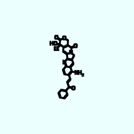 CC[C@@]1(O)C(=O)OCc2c1cc1n(c2=O)Cc2cc3c(N)c(C=CC(=O)c4ccccc4)ccc3nc2-1